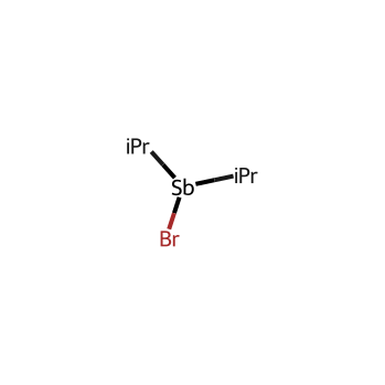 C[CH](C)[Sb]([Br])[CH](C)C